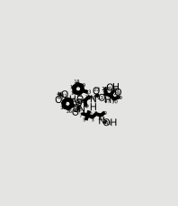 C/C(CCC(C)(C)CN(C[C@@H](O)[C@H](Cc1ccccc1)NC(=O)O[C@H]1CO[C@H]2OCC[C@H]21)S(=O)(=O)c1ccc2c(c1)OCO2)=N\O